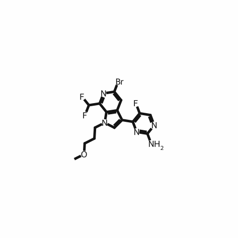 COCCCn1cc(-c2nc(N)ncc2F)c2cc(Br)nc(C(F)F)c21